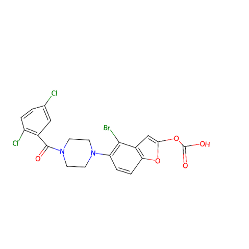 O=C(O)Oc1cc2c(Br)c(N3CCN(C(=O)c4cc(Cl)ccc4Cl)CC3)ccc2o1